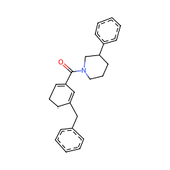 O=C(C1=CC[CH]C(Cc2ccccc2)=C1)N1CCCC(c2ccccc2)C1